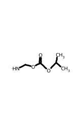 CC(C)OC(=O)OC[NH]